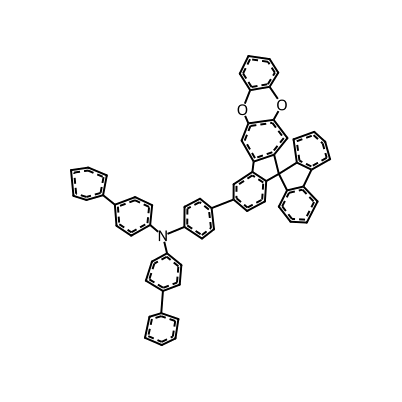 c1ccc(-c2ccc(N(c3ccc(-c4ccccc4)cc3)c3ccc(-c4ccc5c(c4)-c4cc6c(cc4C54c5ccccc5-c5ccccc54)Oc4ccccc4O6)cc3)cc2)cc1